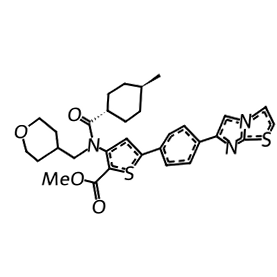 COC(=O)c1sc(-c2ccc(-c3cn4ccsc4n3)cc2)cc1N(CC1CCOCC1)C(=O)[C@H]1CC[C@H](C)CC1